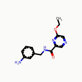 CCOc1cncc(C(=O)NCc2cccc(N)c2)n1